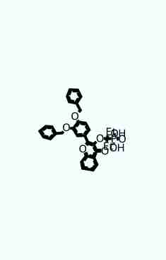 CCC(CC)(Oc1c(-c2ccc(OCc3ccccc3)c(OCc3ccccc3)c2)oc2ccccc2c1=O)P(=O)(O)O